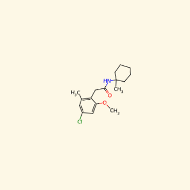 COc1cc(Cl)cc(C)c1CC(=O)NC1(C)CCCCC1